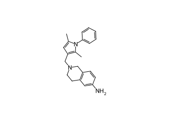 Cc1cc(CN2CCc3cc(N)ccc3C2)c(C)n1-c1ccccc1